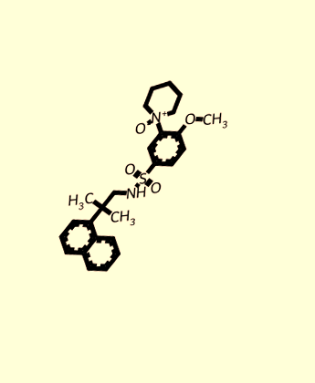 COc1ccc(S(=O)(=O)NCC(C)(C)c2cccc3ccccc23)cc1[N+]1([O-])CCCCC1